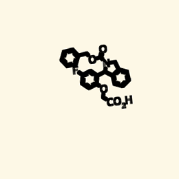 O=C(O)COc1ccc(F)cc1C1c2ccccc2CN1C(=O)OCc1ccccc1